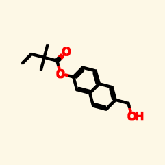 CCC(C)(C)C(=O)Oc1ccc2cc(CO)ccc2c1